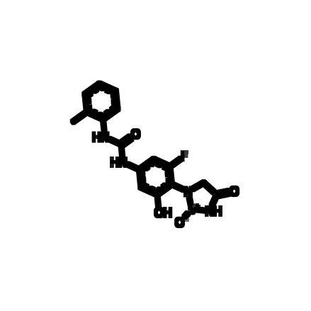 Cc1ccccc1NC(=O)Nc1cc(O)c(N2CC(=O)N[S+]2[O-])c(F)c1